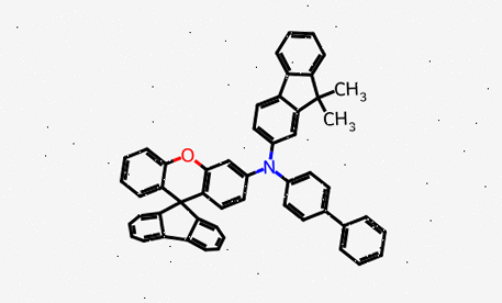 CC1(C)c2ccccc2-c2ccc(N(c3ccc(-c4ccccc4)cc3)c3ccc4c(c3)Oc3ccccc3C43c4ccccc4-c4ccccc43)cc21